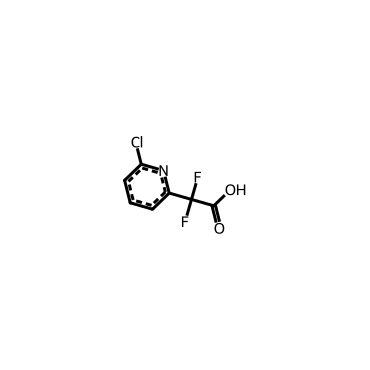 O=C(O)C(F)(F)c1cccc(Cl)n1